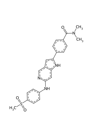 CN(C)C(=O)c1ccc(-c2cc3cnc(Nc4ccc(S(C)(=O)=O)cc4)cc3[nH]2)cc1